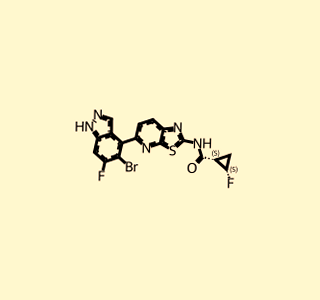 O=C(Nc1nc2ccc(-c3c(Br)c(F)cc4[nH]ncc34)nc2s1)[C@@H]1C[C@@H]1F